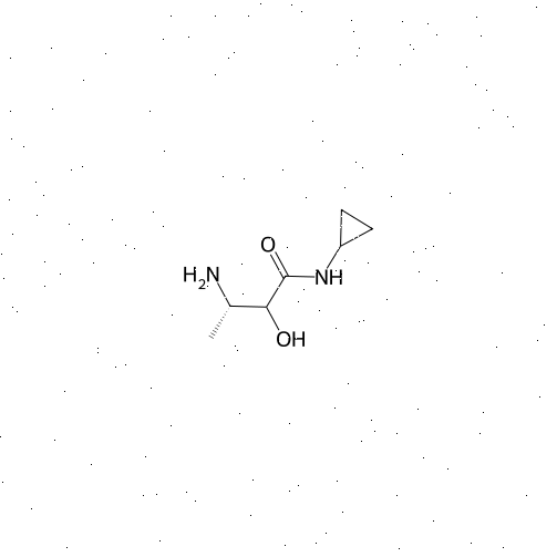 C[C@H](N)C(O)C(=O)NC1CC1